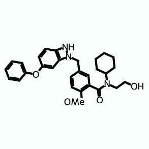 COc1ccc(Cn2[nH]c3ccc(Oc4ccccc4)cc32)cc1C(=O)N(CCO)C1CCCCC1